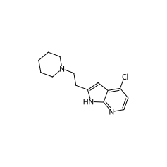 Clc1ccnc2[nH]c(CCN3CCCCC3)cc12